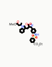 CCOC(=O)c1cccc(S(=O)(=O)Nc2ccc(C3=NOC(=O)/C3=C\c3cn(C(C)CC(=O)OC)c4ccccc34)cc2)c1